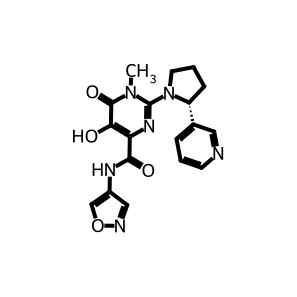 Cn1c(N2CCC[C@@H]2c2cccnc2)nc(C(=O)Nc2cnoc2)c(O)c1=O